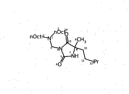 CCCCCCCCN(CCCCCCCC)CN1C(=O)NC(C)(CCC(C)C)C1=O